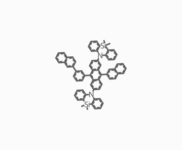 C[Si]1(C)c2ccccc2N(c2ccc3c(-c4ccc5ccccc5c4)c4cc(N5c6ccccc6[Si](C)(C)c6ccccc65)ccc4c(-c4cccc(-c5ccc6ccccc6c5)c4)c3c2)c2ccccc21